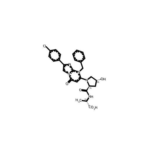 C[C@H](NC(=O)[C@@H]1C[C@@H](O)CN1c1cc(=O)n2cc(-c3ccc(Cl)cc3)nc2n1Cc1ccccc1)C(=O)O